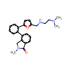 CN(C)CCNCc1ccc(-c2ccccc2-c2cccc3c2CN(C)C3=O)o1